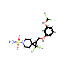 NS(=O)(=O)N1CCC2(CC1)C(COc1cccc(OC(F)F)c1)C2(F)F